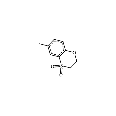 Cc1ccc2c(c1)S(=O)(=O)CCO2